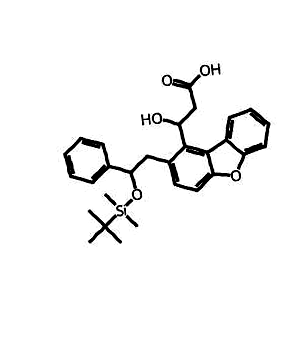 CC(C)(C)[Si](C)(C)OC(Cc1ccc2oc3ccccc3c2c1C(O)CC(=O)O)c1ccccc1